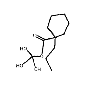 CCCC1(C(=O)OC(O)(O)O)CCCCC1